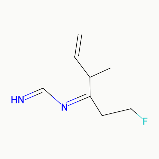 C=CC(C)/C(CCF)=N\C=N